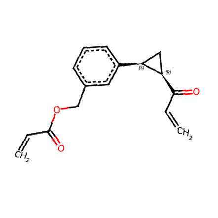 C=CC(=O)OCc1cccc([C@H]2C[C@H]2C(=O)C=C)c1